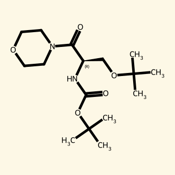 CC(C)(C)OC[C@@H](NC(=O)OC(C)(C)C)C(=O)N1CCOCC1